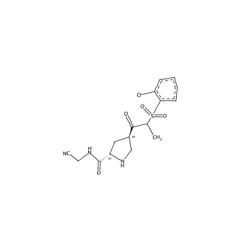 CC(C(=O)[C@H]1CN[C@H](C(=O)NCC#N)C1)S(=O)(=O)c1ccccc1Cl